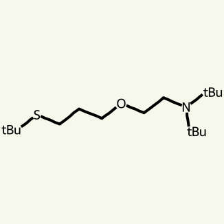 CC(C)(C)SCCCOCCN(C(C)(C)C)C(C)(C)C